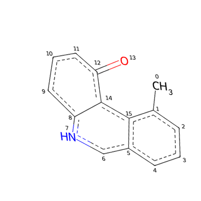 Cc1cccc2c[nH]c3cccc(=O)c-3c12